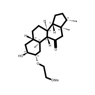 COCCO[C@H]1C[C@@]2(C)[C@@H](CC[C@H]3[C@@H]4CC[C@H](C)[C@@]4(C)CC(=O)[C@@H]32)C[C@@H]1O